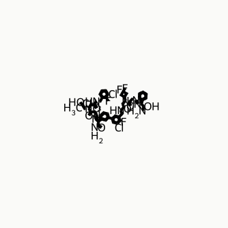 CC(C)(O)CN(CC(=O)NCc1cccc(Cl)c1F)C(=O)Cn1nc(C(N)=O)c2cc(-c3cc(Cl)c(F)c(CNC(=O)CN(C(=O)Cn4nc(C(N)O)c5ccccc54)C4CC(F)(F)C4)c3)ccc21